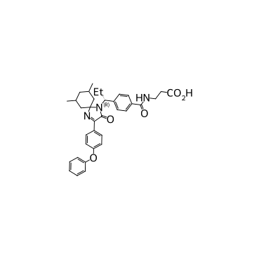 CC[C@H](c1ccc(C(=O)NCCC(=O)O)cc1)N1C(=O)C(c2ccc(Oc3ccccc3)cc2)=NC12CC(C)CC(C)C2